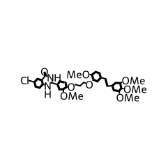 COc1cc(C2NC(=O)c3cc(Cl)ccc3N2)ccc1OCCCOc1cc(C=Cc2cc(OC)c(OC)c(OC)c2)ccc1OC